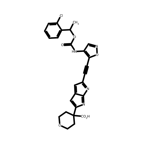 CC(OC(=O)Nc1cnoc1C#CC1=NC2=NC(C3(C(=O)O)CCOCC3)=CC2=C1)c1ccccc1Cl